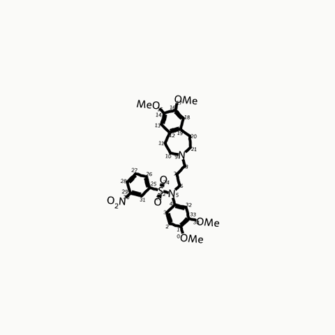 COc1ccc(N(CCCN2CCc3cc(OC)c(OC)cc3CC2)S(=O)(=O)c2cccc([N+](=O)[O-])c2)cc1OC